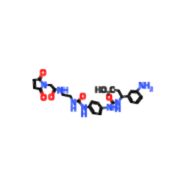 Nc1cccc(C(CC(=O)O)NC(=O)Nc2ccc(NC(=O)NCCNC(=O)CN3C(=O)C=CC3=O)cc2)c1